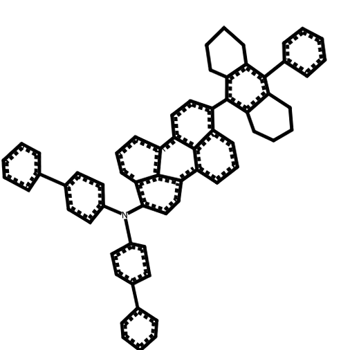 c1ccc(-c2ccc(N(c3ccc(-c4ccccc4)cc3)c3ccc4c5cccc6c(-c7c8c(c(-c9ccccc9)c9c7CCCC9)CCCC8)ccc(c7cccc3c74)c65)cc2)cc1